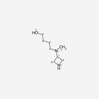 CN(CCCCO)C1CNC1